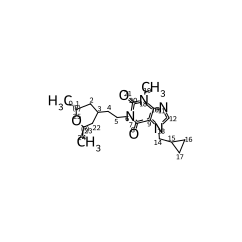 C[C@@H]1CC(CCn2c(=O)c3c(ncn3CC3CC3)n(C)c2=O)C[C@@H](C)O1